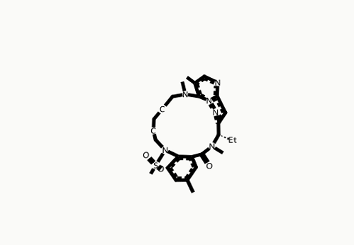 CC[C@H]1c2cc3ncc(C)c(n3n2)N(C)CCCCCN(S(C)(=O)=O)c2ccc(C)cc2C(=O)N1C